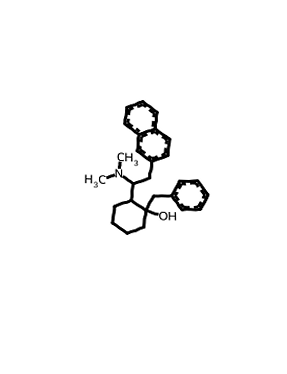 CN(C)C(Cc1ccc2ccccc2c1)C1CCCCC1(O)Cc1ccccc1